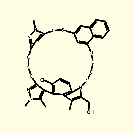 Cc1c(CO)n2c3ccc(Cl)c(c13)-c1c(nn(C)c1C)CSCc1cc(n(C)n1)CSc1cc(c3ccccc3c1)OCCC2